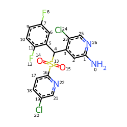 Nc1cc(C(c2cc(F)ccc2F)S(=O)(=O)c2ccc(Cl)cn2)c(Cl)cn1